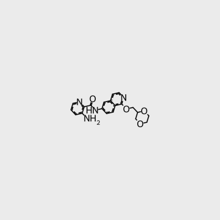 Nc1cccnc1C(=O)Nc1ccc2c(OCC3COCCO3)nccc2c1